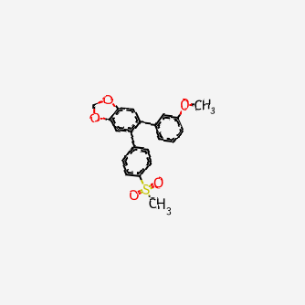 COc1cccc(-c2cc3c(cc2-c2ccc(S(C)(=O)=O)cc2)OCO3)c1